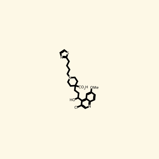 COc1ccc2ncc(Cl)c(C(O)CCC3(C(=O)O)CCN(CCCCc4nccs4)CC3)c2c1